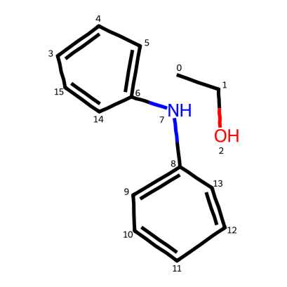 CCO.c1ccc(Nc2ccccc2)cc1